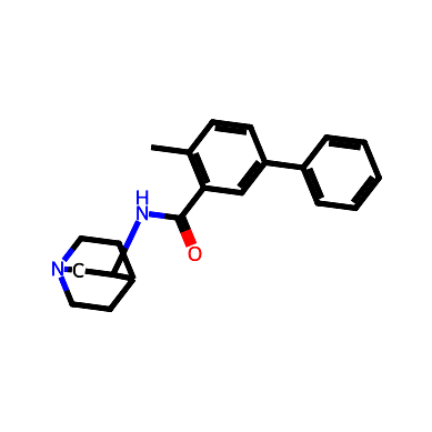 Cc1ccc(-c2ccccc2)cc1C(=O)NC1CN2CCC1CC2